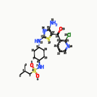 CC(C)CS(=O)(=O)N[C@H]1CC[C@H](Nc2nc(N)c(C(=O)c3cccnc3Cl)s2)CC1